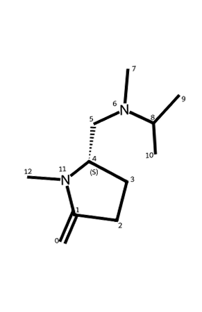 C=C1CC[C@@H](CN(C)C(C)C)N1C